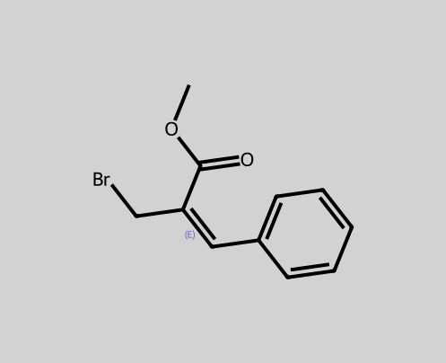 COC(=O)/C(=C\c1ccccc1)CBr